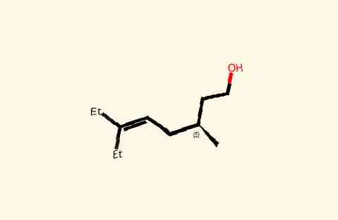 CCC(=CC[C@H](C)CCO)CC